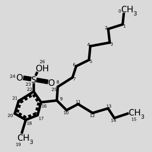 CCCCCCCCCC(CCCCCC)c1cc(C)ccc1S(=O)(=O)O